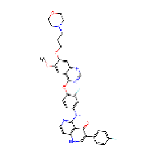 COc1cc2c(Oc3ccc(Nc4nccc5[nH]cc(-c6ccc(F)cc6)c(=O)c45)cc3F)ncnc2cc1OCCCN1CCOCC1